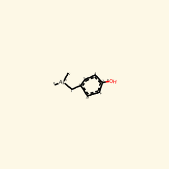 C[As](C)Cc1ccc(O)cc1